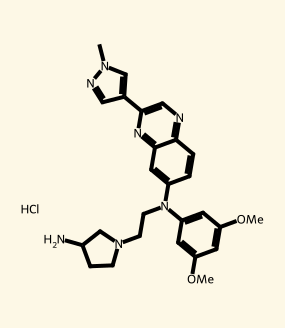 COc1cc(OC)cc(N(CCN2CCC(N)C2)c2ccc3ncc(-c4cnn(C)c4)nc3c2)c1.Cl